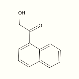 O=C(CO)c1cccc2ccccc12